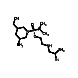 BC(CC)CNCCO[P@](=O)(N(C)C)N1CC(B)CC(CO)C1